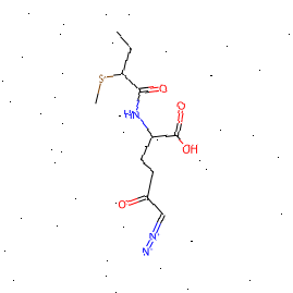 CCC(SC)C(=O)NC(CCC(=O)C=[N+]=[N-])C(=O)O